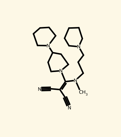 CN(CCCN1CCCCC1)C(=C(C#N)C#N)N1CCC(N2CCCCC2)CC1